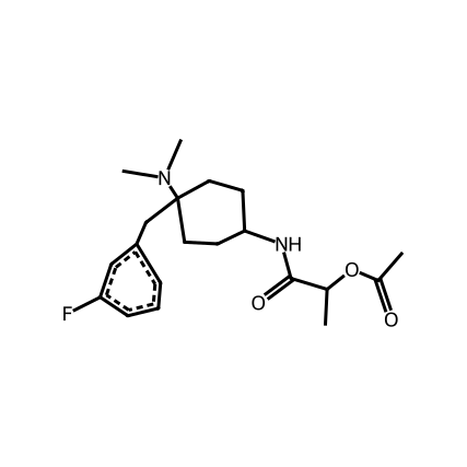 CC(=O)OC(C)C(=O)NC1CCC(Cc2cccc(F)c2)(N(C)C)CC1